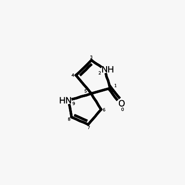 O=C1NC=CC12CC=CN2